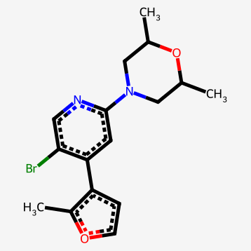 Cc1occc1-c1cc(N2CC(C)OC(C)C2)ncc1Br